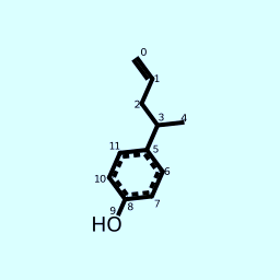 C=CCC(C)c1ccc(O)cc1